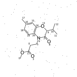 COC(=O)CCN1C(=O)C(C(C)C)Oc2cc(C)ccc21